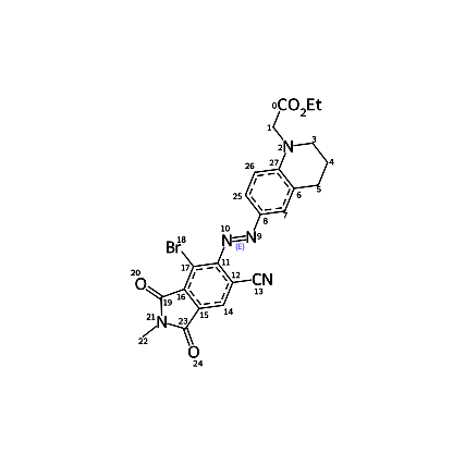 CCOC(=O)CN1CCCc2cc(/N=N/c3c(C#N)cc4c(c3Br)C(=O)N(C)C4=O)ccc21